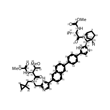 COC(=O)N[C@H](C(=O)N1C2CC[C@@H](C2)[C@H]1c1ncc(-c2ccc(-c3ccc4cc(-c5cnc(CN(CC6(C)CC6)C(=O)[C@@H](NC(=O)OC)C(C)OC)[nH]5)ccc4c3)cc2)[nH]1)C(C)C